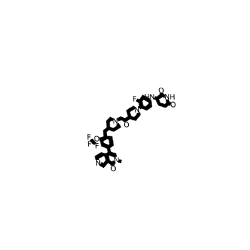 Cn1cc(-c2ccc(CC3CCN(CC(=O)C4CCN(c5ccc(NC6CCC(=O)NC6=O)cc5F)CC4)CC3)c(OC(F)(F)F)c2)c2ccncc2c1=O